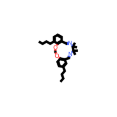 CCCCc1ccc2c(c1)/C=N/C(C)(C)C(C)(C)/N=C/c1cccc(CCCC)c1OCO2